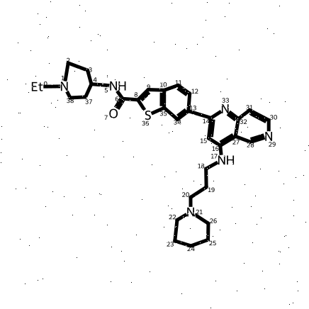 CCN1CCC(NC(=O)c2cc3ccc(-c4cc(NCCCN5CCCCC5)c5cnccc5n4)cc3s2)CC1